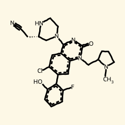 CN1CCCC1Cn1c(=O)nc(N2CCN[C@@H](CC#N)C2)c2cc(Cl)c(-c3c(O)cccc3F)cc21